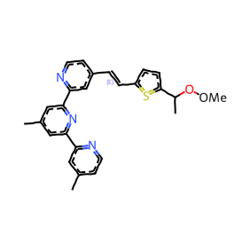 COOC(C)c1ccc(/C=C/c2ccnc(-c3cc(C)cc(-c4cc(C)ccn4)n3)c2)s1